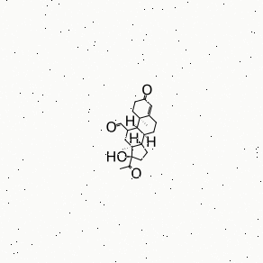 CC(=O)[C@@]1(O)CC[C@H]2[C@@H]3CCC4=CC(=O)CC[C@]4(C)[C@H]3C(C=O)C[C@@]21C